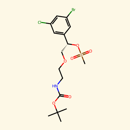 CC(C)(C)OC(=O)NCCOC[C@@H](OS(C)(=O)=O)c1cc(Cl)cc(Br)c1